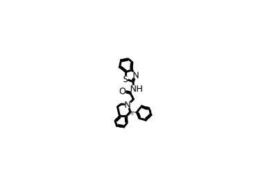 O=C(CN1CCc2ccccc2[C@H]1c1ccccc1)Nc1nc2ccccc2s1